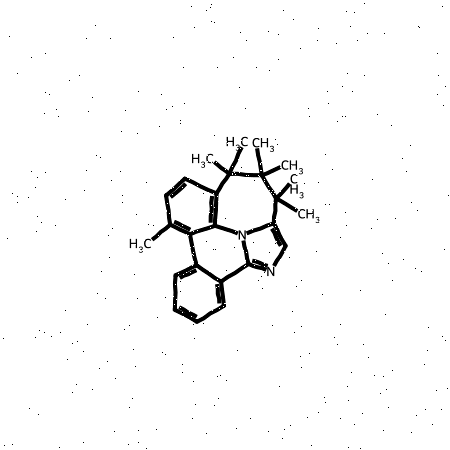 Cc1ccc2c3c1c1ccccc1c1ncc(n13)C(C)(C)C(C)(C)C2(C)C